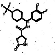 O=C1NCC(C(=O)N[C@H](c2ccc(F)c(Cl)c2)C2CCC(C(F)(F)F)CC2)O1